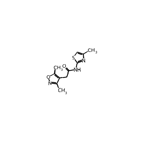 Cc1csc(NC(=O)Cc2c(C)noc2C)n1